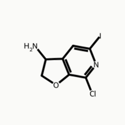 NC1COc2c1cc(I)nc2Cl